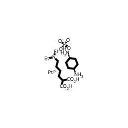 CCN(CC)CCCCC(C(=O)O)C(=O)O.N[C@H]1CC[C@@H](N)CC1.O=P([O-])([O-])O.[Pt+2]